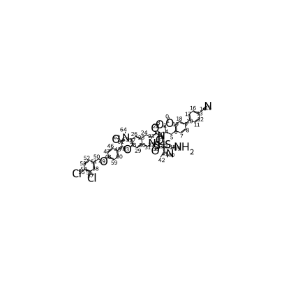 COC(=O)C(Cc1ccc(-c2ccc(C#N)cc2)cc1)NC(=O)C1Cc2cc3c(cc2CN1S(=O)(=O)c1sc(N)nc1C)OC(c1ccc(OCc2ccc(Cl)c(Cl)c2)cc1)C(=O)N3C